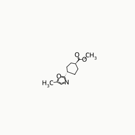 COC(=O)[C@H]1CC[C@H](c2ncc(C)o2)CC1